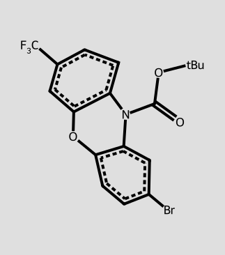 CC(C)(C)OC(=O)N1c2ccc(C(F)(F)F)cc2Oc2ccc(Br)cc21